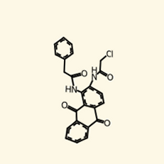 O=C(CCl)Nc1ccc2c(c1NC(=O)Cc1ccccc1)C(=O)c1ccccc1C2=O